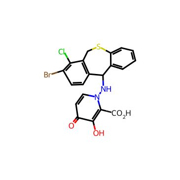 O=C(O)c1c(O)c(=O)ccn1NC1c2ccccc2SCc2c1ccc(Br)c2Cl